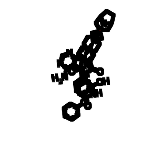 Nc1ncnc2c1c(-c1ccc(Oc3ccccc3)cc1)nn2C1CCN(C2CC3CCC(C2)N3C2CN(c3ccc4c(c3)C(=O)N(C3CCC(=O)NC3O)C4=O)C2)CC1